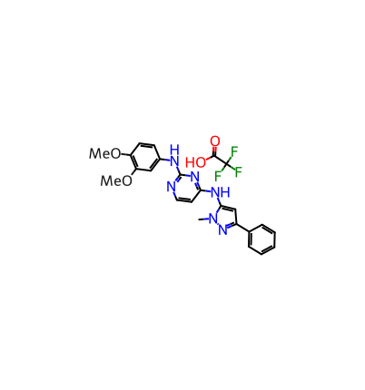 COc1ccc(Nc2nccc(Nc3cc(-c4ccccc4)nn3C)n2)cc1OC.O=C(O)C(F)(F)F